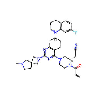 C=CC(=O)N1CCN(c2nc(N3CC4(CCN(C)C4)C3)nc3c2CC[C@@H](N2CCCc4ccc(F)cc42)C3)C[C@@H]1CC#N